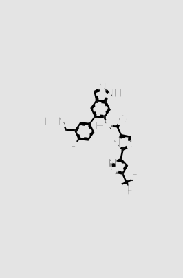 NCc1cc(-c2cc3cn[nH]c3cc2NC(=O)c2csc(-c3cc(C(F)(F)F)n[nH]3)n2)ccc1F